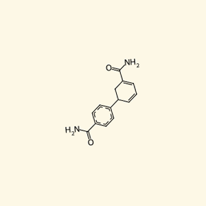 NC(=O)C1=CC=CC(c2ccc(C(N)=O)cc2)C1